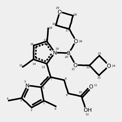 CC1=CC(C)=N/C1=C(/CCC(=O)O)c1c(C)cc(C)n1B(OC1COC1)OC1COC1